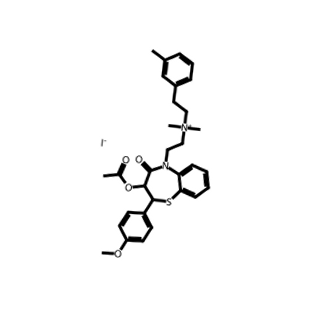 COc1ccc(C2Sc3ccccc3N(CC[N+](C)(C)CCc3cccc(C)c3)C(=O)C2OC(C)=O)cc1.[I-]